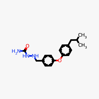 CC(C)Cc1ccc(Oc2ccc(CNNC(N)=O)cc2)cc1